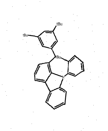 CC(C)(C)c1cc(Cc2cccc3c4ccccc4n(-c4ccccc4C(C)(C)C)c23)cc(C(C)(C)C)c1